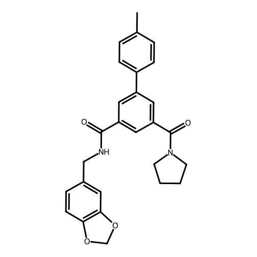 Cc1ccc(-c2cc(C(=O)NCc3ccc4c(c3)OCO4)cc(C(=O)N3CCCC3)c2)cc1